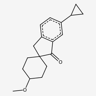 COC1CCC2(CC1)Cc1ccc(C3CC3)cc1C2=O